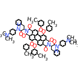 Cc1cccc(Oc2cc3c4c(cc(Oc5cccc(C)c5)c5c6c(Oc7cccc(C)c7)cc7c8c(cc(Oc9cccc(C)c9)c(c2c45)c86)C(=O)N(C(Cc2ccccc2)C(=O)Nc2ccc(N(C)C)cc2)C7=O)C(=O)N(C(Cc2ccccc2)C(=O)Nc2ccc(N(C)C)cc2)C3=O)c1